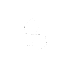 [O-][S+]1CCCC12CCCC2